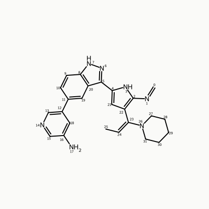 C=Nc1[nH]c(-c2n[nH]c3ccc(-c4cncc(N)c4)cc23)cc1/C(=C\C)N1CCCCC1